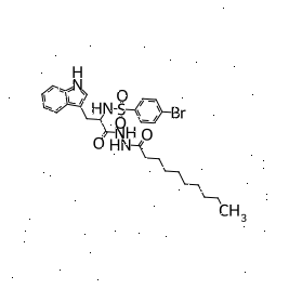 CCCCCCCCCC(=O)NNC(=O)C(Cc1c[nH]c2ccccc12)NS(=O)(=O)c1ccc(Br)cc1